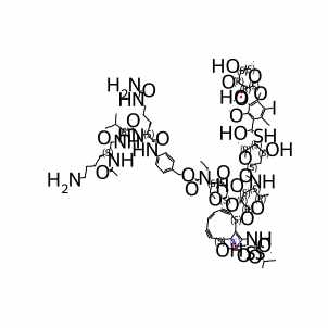 CCN(C(=O)OCc1ccc(NC(=O)[C@H](CCCNC(N)=O)NC(=O)[C@@H](NC(=O)[C@H](CCCCN)NC(C)=O)C(C)C)cc1)[C@H]1CO[C@@H](O[C@H]2[C@H](O[C@H]3C#CC=CC#C[C@]4(O)CC(=O)C(NC(=O)OC)=C3/C4=C\CSSC(C)C)O[C@H](C)[C@@H](NO[C@H]3C[C@H](O)[C@H]([SH]=C(O)c4c(C)c(I)c(O[C@@H]5O[C@@H](C)[C@H](O)[C@@H](OC)[C@H]5O)c(OC)c4OC)[C@@H](C)O3)[C@@H]2O)C[C@@H]1OC